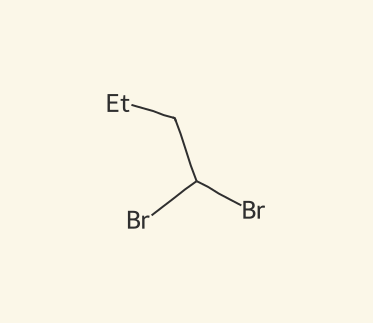 [CH2]CCC(Br)Br